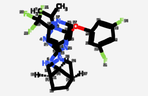 CC(C)n1nc(N[C@H]2[C@@H]3CC[C@H]2CN(c2ccnc(C(F)(F)F)c2)C3)nc1Oc1cc(F)cc(F)c1